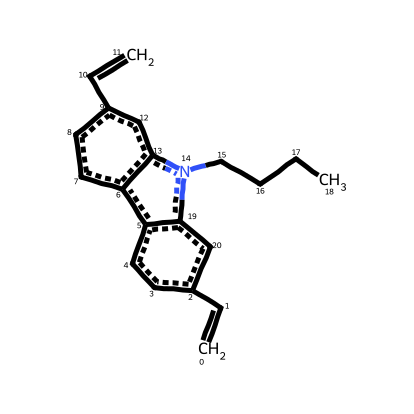 C=Cc1ccc2c3ccc(C=C)cc3n(CCCC)c2c1